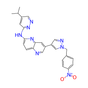 CC(C)c1cnnc(Nc2ccc3ncc(-c4cnn(Cc5ccc([N+](=O)[O-])cc5)c4)cc3n2)c1